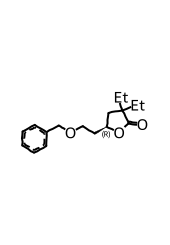 CCC1(CC)C[C@H](CCOCc2ccccc2)OC1=O